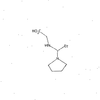 CCC(NCC(=O)O)N1CCCC1